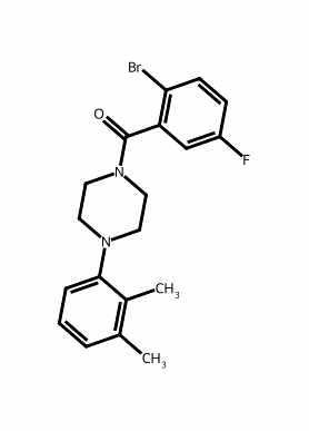 Cc1cccc(N2CCN(C(=O)c3cc(F)ccc3Br)CC2)c1C